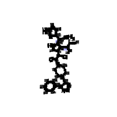 C=C/C(F)=c1/c(C(=O)C(=O)N2CCN(c3nnnn3-c3ccccc3)CC2)c[nH]/c1=C(/N)c1cc[nH]n1